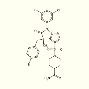 C[C@@]1(Cc2ccc(Br)cc2)C(=O)N(c2cc(Cl)cc(Cl)c2)c2ncc(S(=O)(=O)N3CCC(C(N)=O)CC3)n21